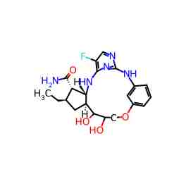 CC[C@@H]1C[C@@H]2C(O)C(O)COc3cccc(c3)Nc3ncc(F)c(n3)N[C@H]2[C@H]1C(N)=O